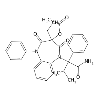 CCC1(OC(C)=O)C(=O)N(c2ccccc2)c2ccccc2N(C(C(N)=O)(c2ccccc2)C(C)C)C1=O